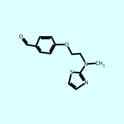 CN(CCOc1ccc(C=O)cc1)c1nccs1